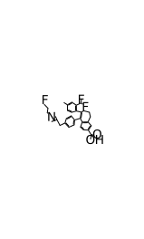 Cc1ccc(C2=C(c3ccc(CC4CN(CCCF)C4)cc3)c3ccc(C(=O)O)cc3CCC2)c(C(F)F)c1